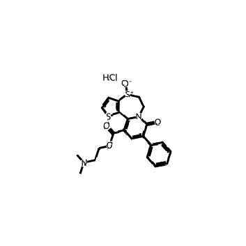 CN(C)CCOC(=O)c1cc(-c2ccccc2)c(=O)n2c1-c1sccc1[S+]([O-])CC2.Cl